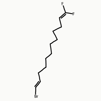 FC(F)=CCCCCCCCCC=CBr